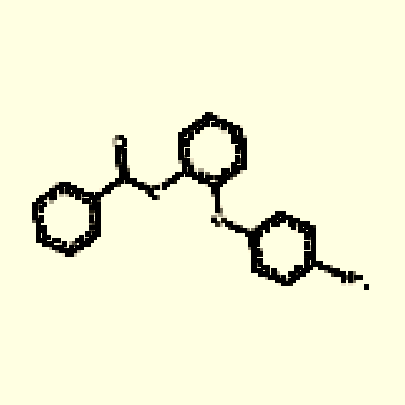 Nc1ccc(Oc2ccccc2OC(=O)c2ccccc2)cc1